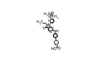 C=CCn1c(=O)c2cnc(Nc3ccc(C4CCN(C(=O)O)CC4)cc3)nc2n1-c1cccc(N=S(C)(C)=O)n1